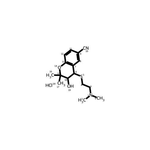 CN(C)CCSC1c2cc(C#N)ccc2OC(C)(C)C1O.Cl